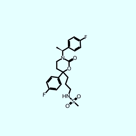 C[C@@H](c1ccc(F)cc1)N1CCC(CCCNS(C)(=O)=O)(c2ccc(F)cc2)OC1=O